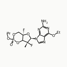 CCOc1nc(N)nc2c1ncn2[C@@H]1O[C@]2(F)COP(=O)(OC(C)C)OC2[C@@]1(C)F